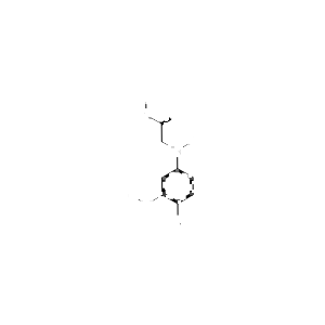 CNC(=O)CN(C)c1ccc(N)c(OC)c1